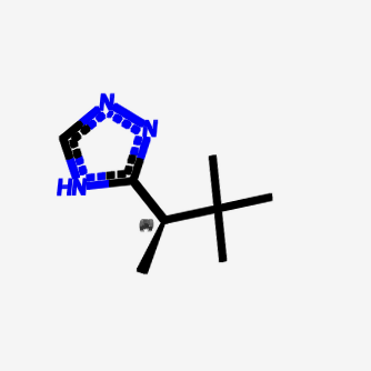 C[C@@H](c1nnc[nH]1)C(C)(C)C